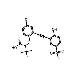 CC(C)(C)C(Oc1ccc(Cl)cc1C#Cc1cc(S(C)(=O)=O)ccc1O)C(=O)O